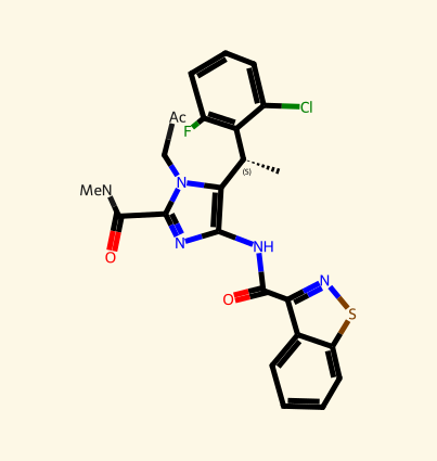 CNC(=O)c1nc(NC(=O)c2nsc3ccccc23)c([C@@H](C)c2c(F)cccc2Cl)n1CC(C)=O